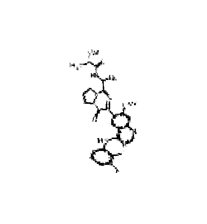 CN[C@@H](C)C(=O)N[C@H](C(=O)N1CCC[C@H]1C(=O)Nc1cc2c(Nc3cccc(F)c3F)ncnc2cc1OC)C(C)(C)C